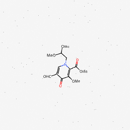 COC(=O)c1c(OC)c(=O)c(C=O)cn1CC(OC)OC